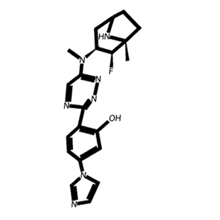 CN(c1cnc(-c2ccc(-n3ccnc3)cc2O)nn1)[C@H]1CC2CC[C@@](C)(N2)[C@H]1F